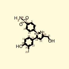 NS(=O)(=O)c1ccc(-n2nc(CO)cc2-c2ccc(O)c(I)c2)cc1